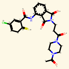 CC(=O)N1CCN(C(=O)CCN2C(=O)c3cccc(NC(=O)C4=CC(Cl)=CCC4=S)c3C2=O)CC1